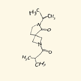 CC(C)C(=O)N1CC2(CCN(C(C)C)C2=O)C1